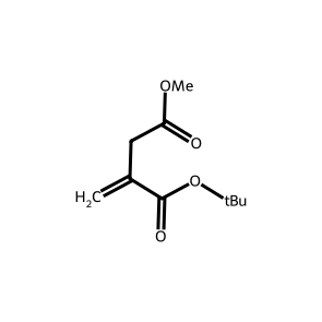 C=C(CC(=O)OC)C(=O)OC(C)(C)C